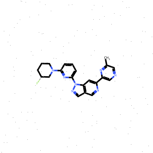 Cc1cncc(-c2cc3c(cn2)cnn3-c2cccc(N3CCC[C@@H](F)C3)n2)n1